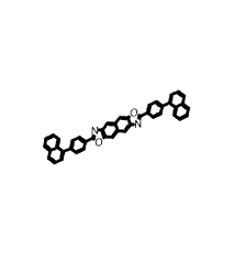 c1ccc2c(-c3ccc(-c4nc5cc6cc7oc(-c8ccc(-c9cccc%10ccccc9%10)cc8)nc7cc6cc5o4)cc3)cccc2c1